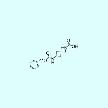 O=C(NC1CC2(C1)CN(C(=O)O)C2)OCc1ccccc1